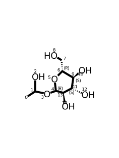 CC(O)OC1O[C@H](CO)[C@@H](O)[C@H](O)[C@H]1O